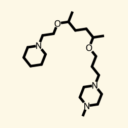 CC(CCC(C)OCCN1CCCCC1)OCCCN1CCN(C)CC1